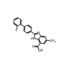 Cc1cc(C(=O)O)c2[nH]c(-c3ccc(-c4ccccc4F)cc3)nc2c1